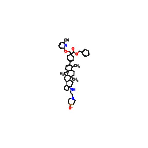 CC1C(C2=CCC(COc3cccc(C#N)n3)(C(=O)OCc3ccccc3)CC2)=CCC2(C)C1CCC1(C)C3CCC4(NCCN5CC[S+]([O-])CC5)CCCC4C3CCC21